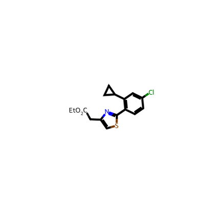 CCOC(=O)Cc1csc(-c2ccc(Cl)cc2C2CC2)n1